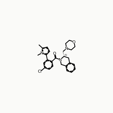 Cc1ccc(-c2cc(Cl)ccc2C(=O)N2Cc3ccccc3C[C@H]2CN2CCOCC2)n1C